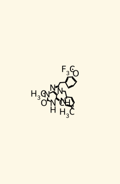 C=C1NC(=O)N(C)c2nc(Cc3cccc(OC(F)(F)F)c3)n(Cc3ccc(C)cn3)c21